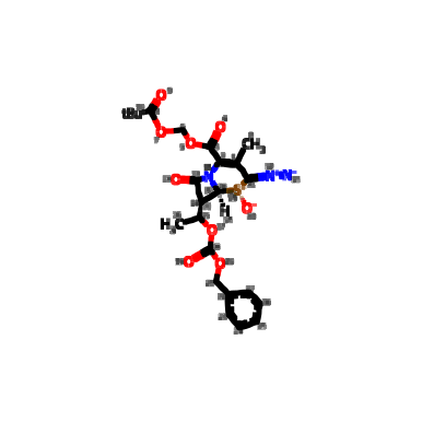 CC1=C(C(=O)OCOC(=O)C(C)(C)C)N2C(=O)[C@H](C(C)OC(=O)OCc3ccccc3)[C@@H]2[S@@+]([O-])C1=[N+]=[N-]